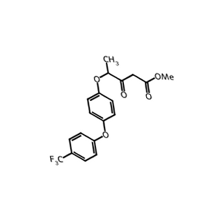 COC(=O)CC(=O)C(C)Oc1ccc(Oc2ccc(C(F)(F)F)cc2)cc1